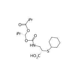 CC(C)C(=O)O[C@H](OC(=O)NC[C@H](SC1CCCCC1)C(=O)O)C(C)C